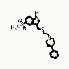 CS(=O)(=O)c1ccc2[nH]cc(CSCCN3CC=C(c4ccccc4)CC3)c2c1